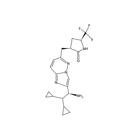 N[C@H](c1cn2nc(C[C@H]3C[C@@H](C(F)(F)F)NC3=O)ccc2n1)C(C1CC1)C1CC1